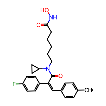 [CH]c1ccc(C=C(C(=O)N(CCCCCC(=O)NO)C2CC2)c2ccc(F)cc2)cc1